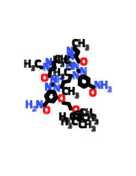 CCn1nc(C)cc1C(=O)Nc1nc2cc(C(N)=O)cc(OCCCO[Si](C)(C)C(C)(C)C)c2n1C(C)CCC(C)n1c(NC(=O)c2cc(C)nn2C)nc2cc(C(N)=O)ccc21